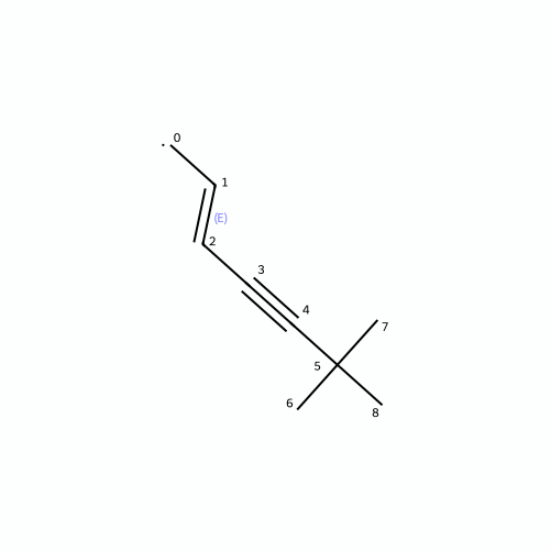 [CH2]/C=C/C#CC(C)(C)C